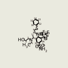 CCN(CCO)CC[C@H](CSc1ccccc1)Nc1ccc(S(N)(=O)=O)cc1S(=O)(=O)C(F)(F)F